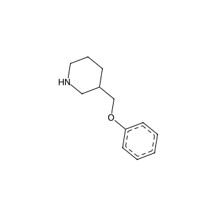 c1ccc(OCC2CCCNC2)cc1